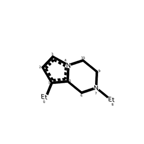 CCc1ccn2c1CN(CC)CC2